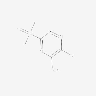 COc1nc(P(C)(C)=O)cnc1N